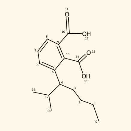 CCCCC(c1cccc(C(=O)O)c1C(=O)O)C(C)C